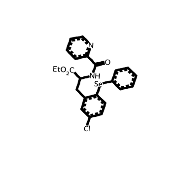 CCOC(=O)C(Cc1cc(Cl)ccc1[Se]c1ccccc1)NC(=O)c1ccccn1